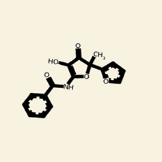 CC1(c2ccco2)OC(NC(=O)c2ccccc2)=C(O)C1=O